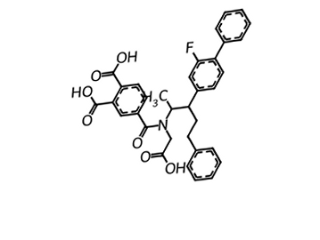 CC(C(CCc1ccccc1)c1ccc(-c2ccccc2)c(F)c1)N(CC(=O)O)C(=O)c1ccc(C(=O)O)c(C(=O)O)c1